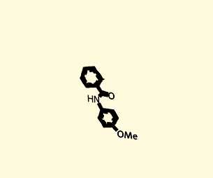 COc1ccc(NC(=O)c2[c]cccc2)cc1